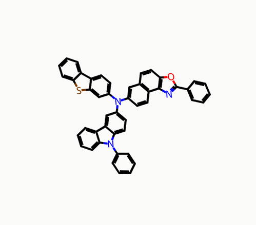 c1ccc(-c2nc3c(ccc4cc(N(c5ccc6c(c5)sc5ccccc56)c5ccc6c(c5)c5ccccc5n6-c5ccccc5)ccc43)o2)cc1